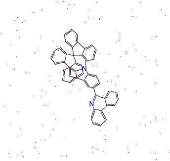 c1ccc2c(c1)-c1ccccc1C21c2ccccc2-c2cccc(-n3c4ccccc4c4cc(-c5nc6ccccc6c6ccccc56)ccc43)c21